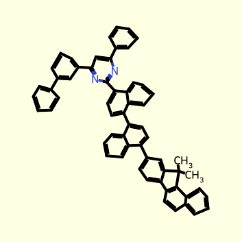 CC1(C)c2cc(-c3ccc(-c4ccc(-c5nc(-c6ccccc6)cc(-c6cccc(-c7ccccc7)c6)n5)c5ccccc45)c4ccccc34)ccc2-c2ccc3ccccc3c21